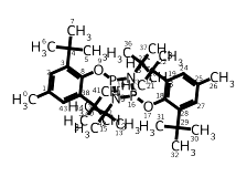 Cc1cc(C(C)(C)C)c(OP2N(C(C)(C)C)P(Oc3c(C(C)(C)C)cc(C)cc3C(C)(C)C)N2C(C)(C)C)c(C(C)(C)C)c1